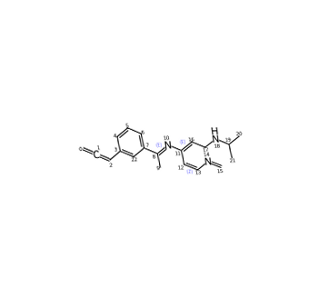 C=C=Cc1cccc(/C(C)=N/C(/C=C\N=C)=C/CNC(C)C)c1